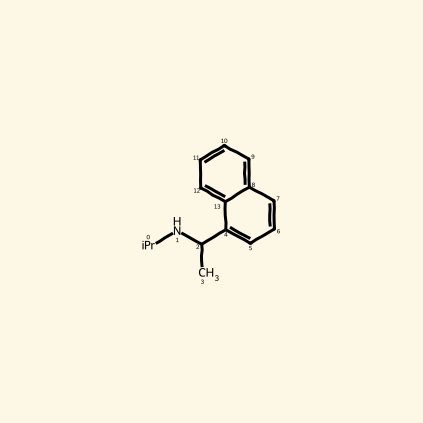 CC(C)NC(C)c1cccc2ccccc12